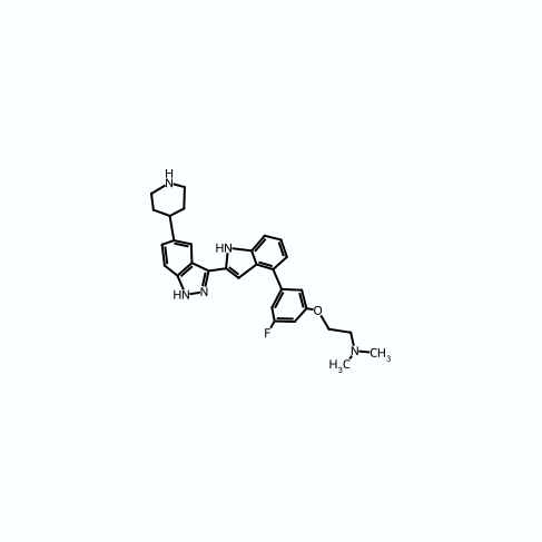 CN(C)CCOc1cc(F)cc(-c2cccc3[nH]c(-c4n[nH]c5ccc(C6CCNCC6)cc45)cc23)c1